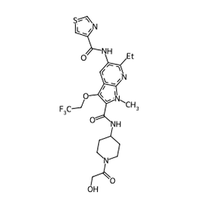 CCc1nc2c(cc1NC(=O)c1cscn1)c(OCC(F)(F)F)c(C(=O)NC1CCN(C(=O)CO)CC1)n2C